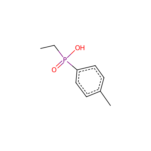 CCP(=O)(O)c1ccc(C)cc1